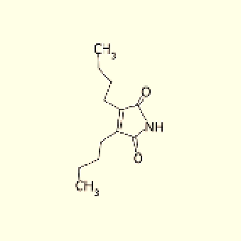 CCCCC1=C(CCCC)C(=O)NC1=O